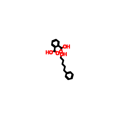 O=C(O)c1ccccc1C(=O)O.OCCCCCc1ccccc1